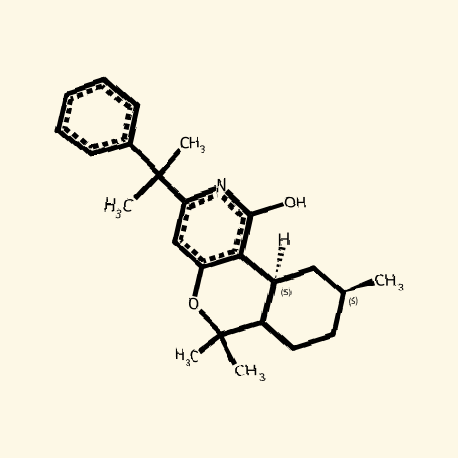 C[C@H]1CCC2[C@H](C1)c1c(cc(C(C)(C)c3ccccc3)nc1O)OC2(C)C